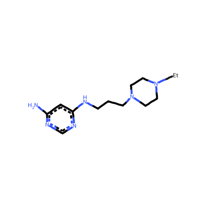 CCN1CCN(CCCNc2cc(N)ncn2)CC1